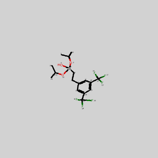 CC(C)O[Si](O)(CCc1cc(C(F)(F)F)cc(C(F)(F)F)c1)OC(C)C